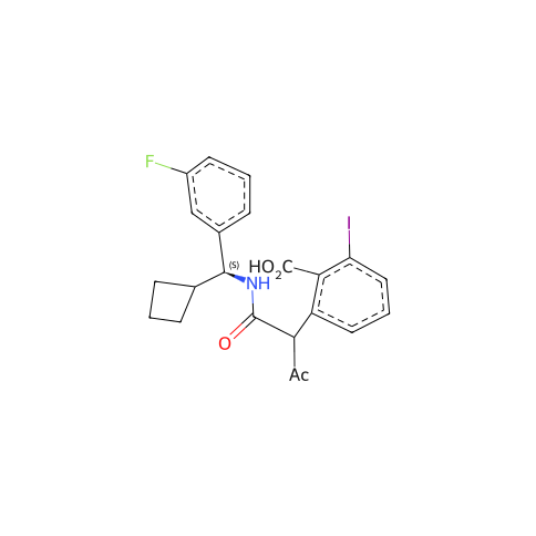 CC(=O)C(C(=O)N[C@H](c1cccc(F)c1)C1CCC1)c1cccc(I)c1C(=O)O